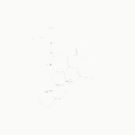 CN[C@@H](C)C(=O)N[C@@H]1C(=O)N(Cc2c(OC)ccc3ccccc23)c2ccc(C#N)cc2N(C(=O)CS(C)(=O)=O)[C@H]1C.Cl